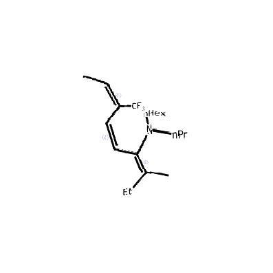 C\C=C(/C=C\C(=C(\C)CC)N(CCC)CCCCCC)C(F)(F)F